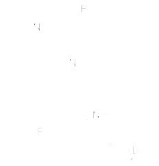 CCC(NSC(C)(C)C)c1ccnc(Br)n1